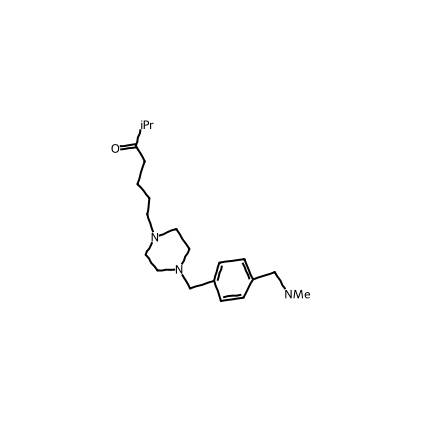 CNCc1ccc(CN2CCN(CCCCC(=O)C(C)C)CC2)cc1